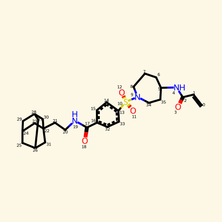 C=CC(=O)NC1CCCN(S(=O)(=O)c2ccc(C(=O)NCCC34CC5CC(CC(C5)C3)C4)cc2)CC1